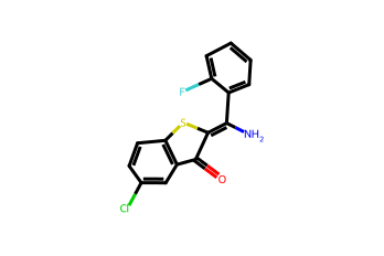 NC(=C1Sc2ccc(Cl)cc2C1=O)c1ccccc1F